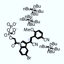 CCCC[N+](CCCC)(CCCC)CCCC.CCCC[N+](CCCC)(CCCC)CCCC.CCCC[N+](CCCC)(CCCC)CCCC.COc1ccc(C#N)cc1/C=C(\C#N)c1cn(C(=O)COP(=O)([O-])OP(=O)([O-])[O-])c2ccc(Br)cc12